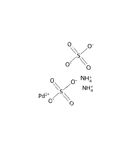 O=S(=O)([O-])[O-].O=S(=O)([O-])[O-].[NH4+].[NH4+].[Pd+2]